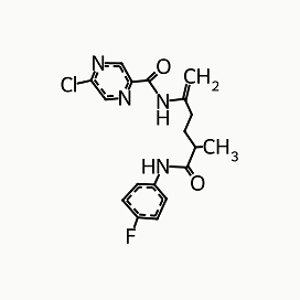 C=C(CCC(C)C(=O)Nc1ccc(F)cc1)NC(=O)c1cnc(Cl)cn1